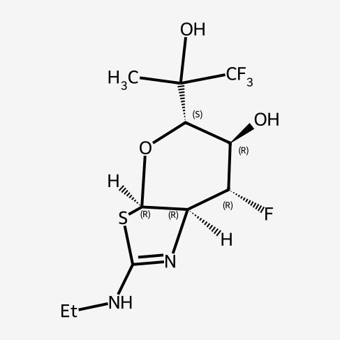 CCNC1=N[C@@H]2[C@@H](F)[C@H](O)[C@@H](C(C)(O)C(F)(F)F)O[C@@H]2S1